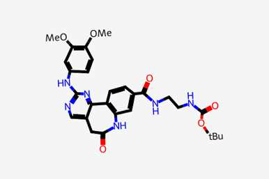 COc1ccc(Nc2ncc3c(n2)-c2ccc(C(=O)NCCNC(=O)OC(C)(C)C)cc2NC(=O)C3)cc1OC